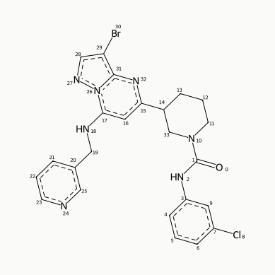 O=C(Nc1cccc(Cl)c1)N1CCCC(c2cc(NCc3cccnc3)n3ncc(Br)c3n2)C1